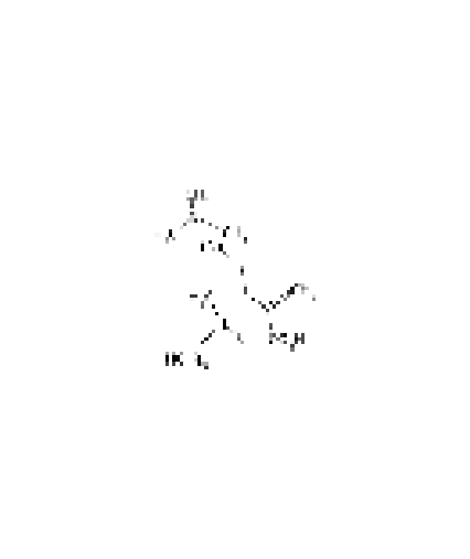 C=C(CCC(C)(C)C)C(=O)O.CN(C)C.CN(C)C.Cl